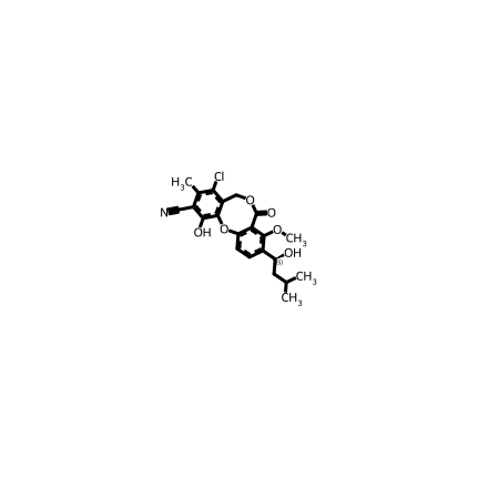 COc1c([C@@H](O)CC(C)C)ccc2c1C(=O)OCc1c(Cl)c(C)c(C#N)c(O)c1O2